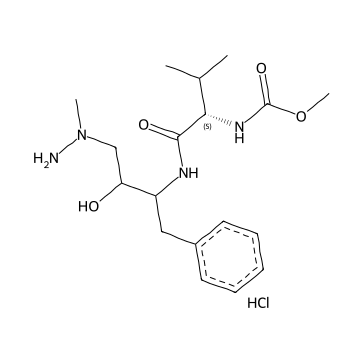 COC(=O)N[C@H](C(=O)NC(Cc1ccccc1)C(O)CN(C)N)C(C)C.Cl